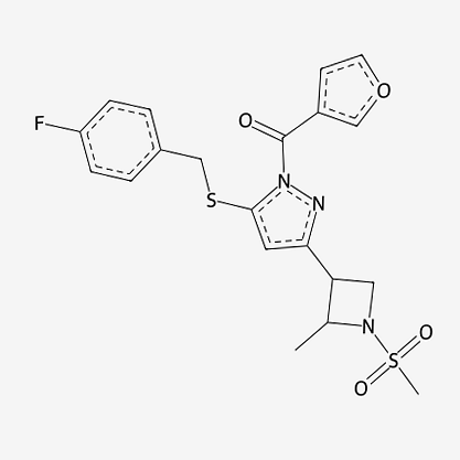 CC1C(c2cc(SCc3ccc(F)cc3)n(C(=O)c3ccoc3)n2)CN1S(C)(=O)=O